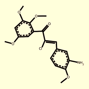 COc1cc(OC)c(OC)c(C(=O)C(Cl)=Cc2ccc(OC)c(N)c2)c1